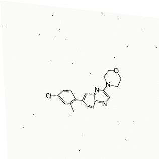 Cc1cc(Cl)ccc1-c1ccc2ncc(N3CCOCC3)nc2c1